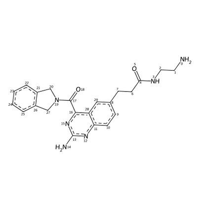 NCCNC(=O)CCc1ccc2nc(N)nc(C(=O)N3Cc4ccccc4C3)c2c1